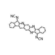 N#C/N=c1\c2ccccc2c2cc3cc4nc5/c(=N/C#N)c6ccccc6c5nc4cc3nc12